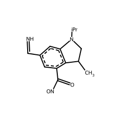 CC1CN(C(C)C)c2cc(C=N)cc(C(=O)N=O)c21